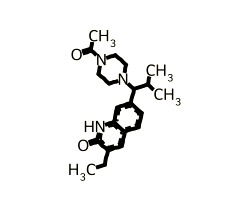 CCc1cc2ccc(C(C(C)C)N3CCN(C(C)=O)CC3)cc2[nH]c1=O